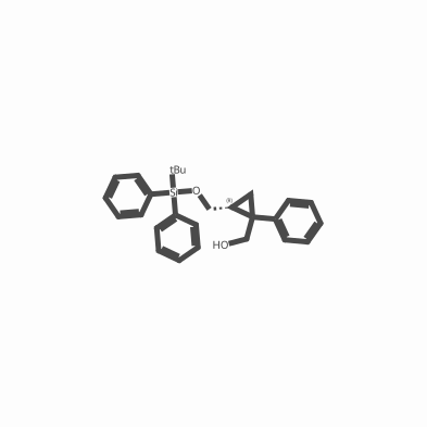 CC(C)(C)[Si](OC[C@@H]1CC1(CO)c1ccccc1)(c1ccccc1)c1ccccc1